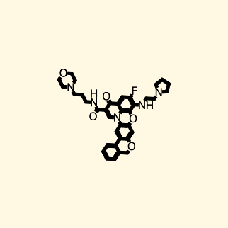 O=C(NCCCN1CCOCC1)c1cn2c3c(c(NCCN4CCCC4)c(F)cc3c1=O)Oc1cc3c(cc1-2)-c1ccccc1CO3